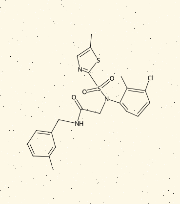 Cc1cccc(CNC(=O)CN(c2cccc(Cl)c2C)S(=O)(=O)c2ncc(C)s2)c1